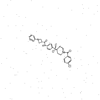 O=C(Nc1ccc(S(=O)(=O)C2CCN(C(=O)c3ccc(Cl)cc3)CC2)cc1)C1CN(c2cccnn2)C1